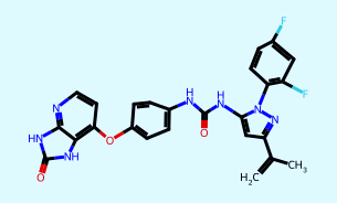 C=C(C)c1cc(NC(=O)Nc2ccc(Oc3ccnc4[nH]c(=O)[nH]c34)cc2)n(-c2ccc(F)cc2F)n1